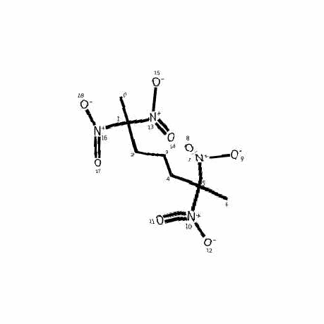 [CH2]C(CCCC(C)([N+](=O)[O-])[N+](=O)[O-])([N+](=O)[O-])[N+](=O)[O-]